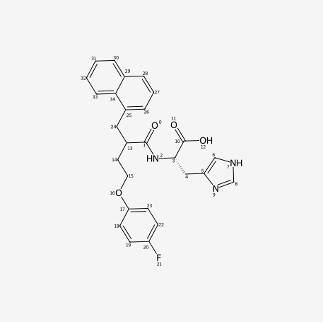 O=C(N[C@@H](Cc1c[nH]cn1)C(=O)O)C(CCOc1ccc(F)cc1)Cc1cccc2ccccc12